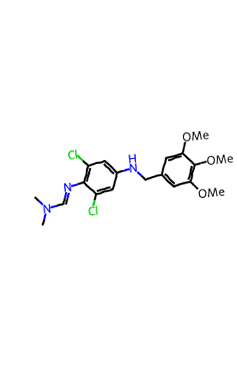 COc1cc(CNc2cc(Cl)c(N=CN(C)C)c(Cl)c2)cc(OC)c1OC